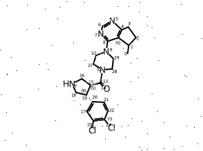 CC1CCc2ncnc(N3CCN(C(=O)[C@@H]4CNC[C@H]4c4ccc(Cl)c(Cl)c4)CC3)c21